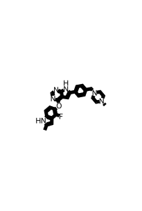 Cc1cc2c(F)c(Oc3ncnc4[nH]c(-c5ccc(CN6CCN(C)CC6)cc5)cc34)ccc2[nH]1